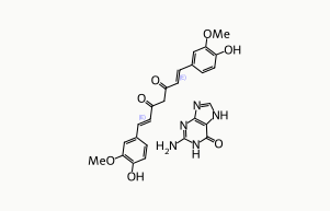 COc1cc(/C=C/C(=O)CC(=O)/C=C/c2ccc(O)c(OC)c2)ccc1O.Nc1nc2nc[nH]c2c(=O)[nH]1